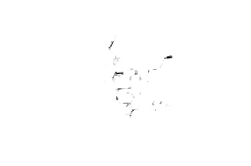 C=CCCCO[C@H]1OC(C(=O)OC)[C@@H](C)[C@H](C)C1OC(=O)OCC=C